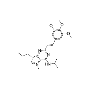 CCCc1nn(C)c2c(NC(C)C)nc(C=Cc3cc(OC)c(OC)c(OC)c3)nc12